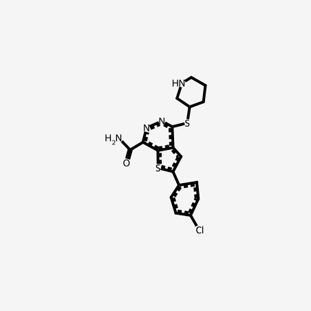 NC(=O)c1nnc(SC2CCCNC2)c2cc(-c3ccc(Cl)cc3)sc12